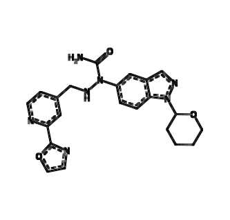 NC(=O)N(NCc1ccnc(-c2ncco2)c1)c1ccc2c(cnn2C2CCCCO2)c1